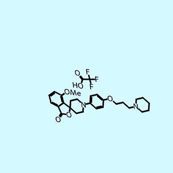 COc1cccc2c1C1(CCN(c3ccc(OCCCN4CCCCC4)cc3)CC1)OC2=O.O=C(O)C(F)(F)F